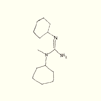 CN(C(N)=NC1CCCCC1)C1CCCCC1